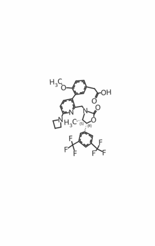 COc1ccc(CC(=O)O)cc1-c1ccc(N2CCC2)nc1CN1C(=O)O[C@H](c2cc(C(F)(F)F)cc(C(F)(F)F)c2)[C@@H]1C